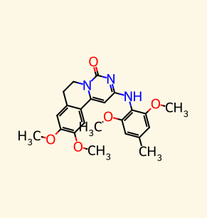 COc1cc2c(cc1OC)-c1cc(Nc3c(OC)cc(C)cc3OC)nc(=O)n1CC2